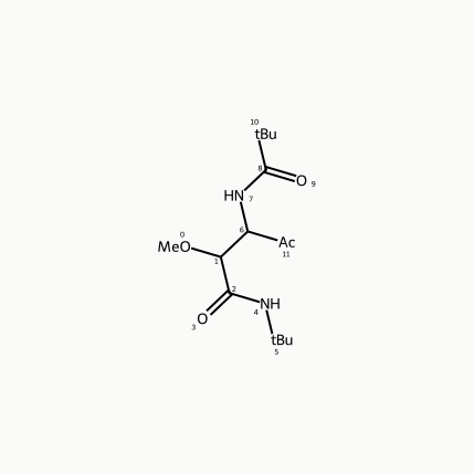 COC(C(=O)NC(C)(C)C)C(NC(=O)C(C)(C)C)C(C)=O